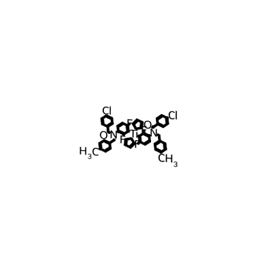 Cc1ccc(CN(C(=O)c2ccc(Cl)cc2)c2ccc(F)[c]([Ti]([c]3c(F)ccc(N(Cc4ccc(C)cc4)C(=O)c4ccc(Cl)cc4)c3F)([CH]3C=CC=C3)[CH]3C=CC=C3)c2F)cc1